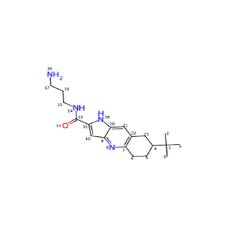 CC(C)(C)C1CCc2nc3cc(C(=O)NCCCN)[nH]c3cc2C1